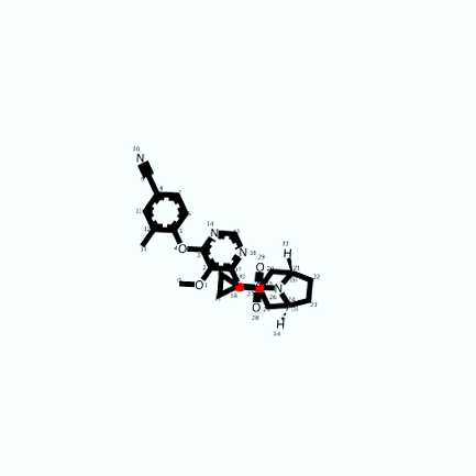 COc1c(Oc2ccc(C#N)cc2C)ncnc1OC1C[C@@H]2CC[C@@H](C1)N2S(=O)(=O)C1CC1